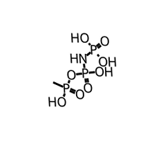 CP(=O)(O)OP(=O)(O)NP(=O)(O)O